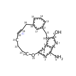 Nc1nc2nc3c1nc(O)n3Cc1cccc(c1)C/C=C/CCCCO2